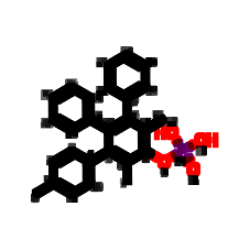 Cc1ccc(-c2c(C)c(OP(=O)(O)O)c(C)c(-c3ccccc3)c2-c2ccccc2)cc1